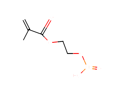 C=C(C)C(=O)OCCO[PH](=O)O